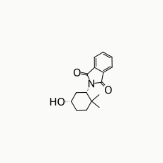 CC1(C)CC[C@H](O)C[C@@H]1N1C(=O)c2ccccc2C1=O